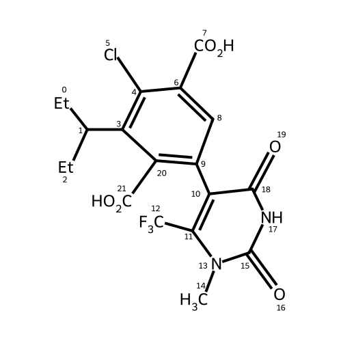 CCC(CC)c1c(Cl)c(C(=O)O)cc(-c2c(C(F)(F)F)n(C)c(=O)[nH]c2=O)c1C(=O)O